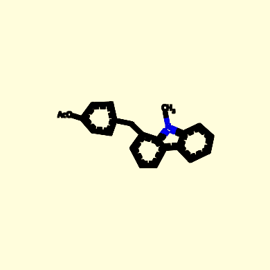 CC(=O)Oc1ccc([C]c2cccc3c4ccccc4n(C)c23)cc1